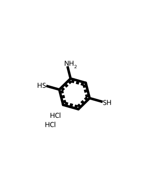 Cl.Cl.Nc1cc(S)ccc1S